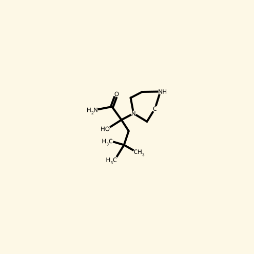 CC(C)(C)CC(O)(C(N)=O)N1CCNCC1